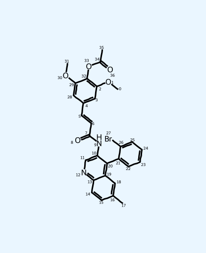 COc1cc(/C=C/C(=O)Nc2cnc3ccc(C)cc3c2-c2ccccc2Br)cc(OC)c1OC(C)=O